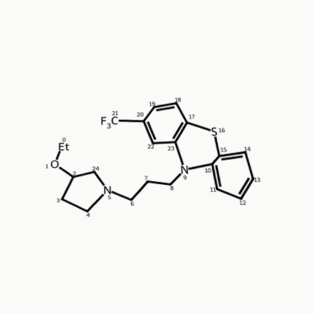 CCOC1CCN(CCCN2c3ccccc3Sc3ccc(C(F)(F)F)cc32)C1